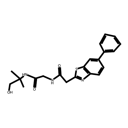 CC(C)(CO)NC(=O)CNC(=O)Cc1nc2ccc(-c3ccccc3)cc2s1